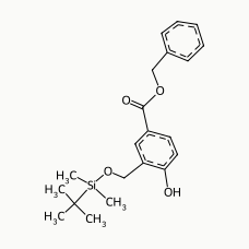 CC(C)(C)[Si](C)(C)OCc1cc(C(=O)OCc2ccccc2)ccc1O